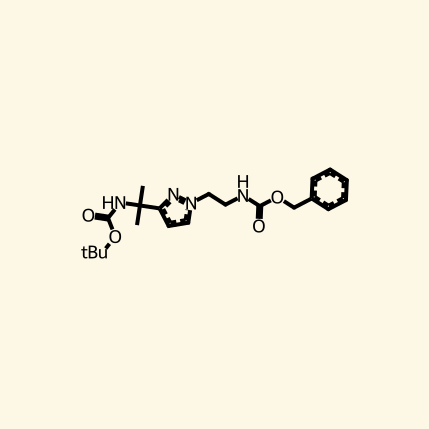 CC(C)(C)OC(=O)NC(C)(C)c1ccn(CCNC(=O)OCc2ccccc2)n1